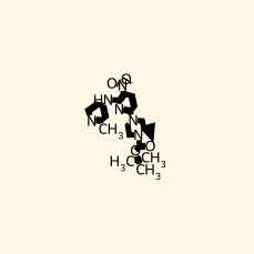 Cc1cc(Nc2nc(N3CCN(C(=O)OC(C)(C)C)C4(CC4)C3)ccc2[N+](=O)[O-])ccn1